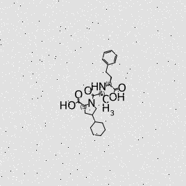 C[C@H](N[C@@H](CCc1ccccc1)C(=O)O)C(=O)N1CC(C2CCCCC2)C[C@H]1C(=O)O